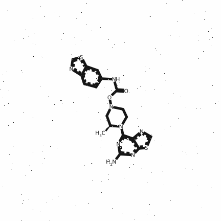 C[C@H]1CN(OC(=O)Nc2ccc3ncsc3c2)CCN1c1nc(N)nc2scnc12